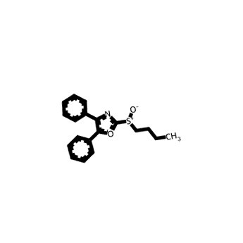 CCCC[S+]([O-])c1nc(-c2ccccc2)c(-c2ccccc2)o1